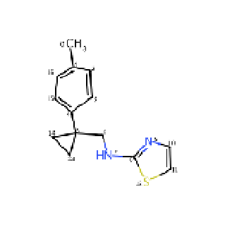 Cc1ccc(C2(CNc3nccs3)CC2)cc1